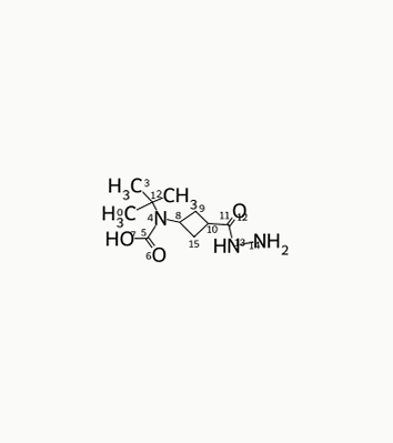 CC(C)(C)N(C(=O)O)C1CC(C(=O)NN)C1